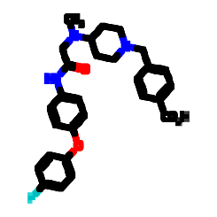 CN(CC(=O)Nc1ccc(Oc2ccc(F)cc2)cc1)C1CCN(Cc2ccc(C(=O)O)cc2)CC1